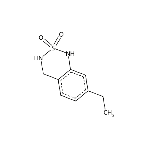 CCc1ccc2c(c1)NS(=O)(=O)NC2